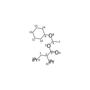 CC(C)CC(C(=O)OC(C)OC1CCCCC1)C(C)C